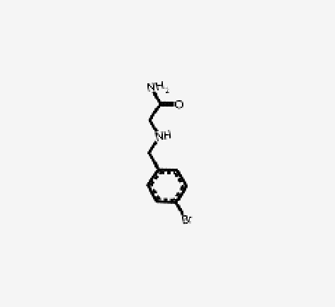 NC(=O)CNCc1ccc(Br)cc1